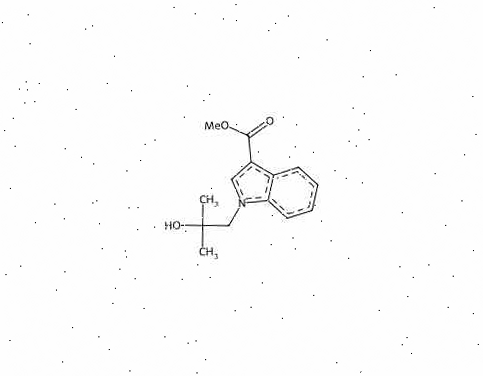 COC(=O)c1cn(CC(C)(C)O)c2ccccc12